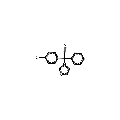 N#CC(c1ccccc1)(c1ccc(Cl)cc1)n1ccnc1